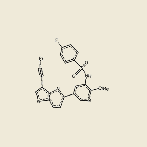 CCC#Cc1cnc2ccc(-c3cnc(OC)c(NS(=O)(=O)c4ccc(F)cc4)c3)nn12